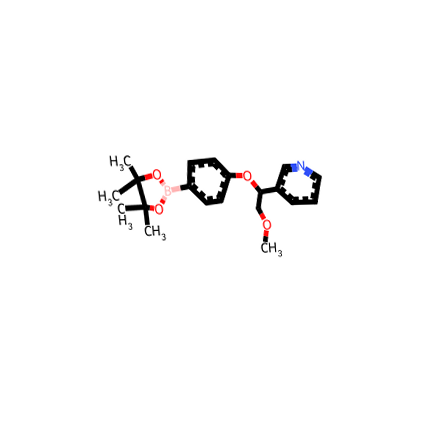 COCC(Oc1ccc(B2OC(C)(C)C(C)(C)O2)cc1)c1cccnc1